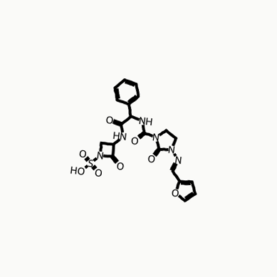 O=C(NC1CN(S(=O)(=O)O)C1=O)C(NC(=O)N1CCN(N=Cc2ccco2)C1=O)c1ccccc1